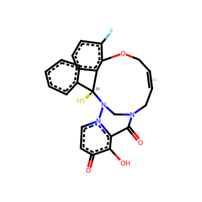 O=C1c2c(O)c(=O)ccn2N2CN1C/C=C\COc1c(F)cccc1[C@@]2(S)c1ccccc1